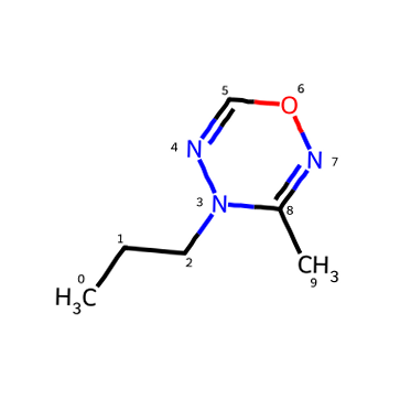 CCCN1N=CON=C1C